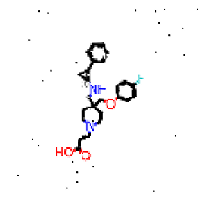 O=C(O)CCN1CCC(CN[C@@H]2CC2c2ccccc2)(COc2ccc(F)cc2)CC1